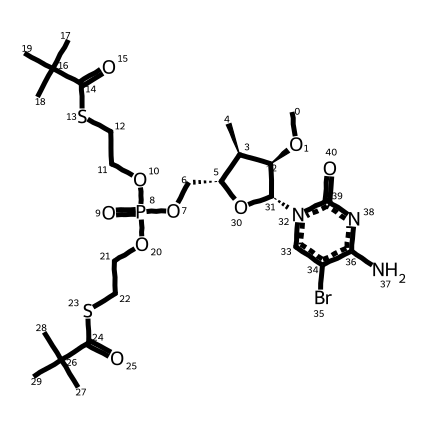 CO[C@@H]1[C@H](C)[C@@H](COP(=O)(OCCSC(=O)C(C)(C)C)OCCSC(=O)C(C)(C)C)O[C@H]1n1cc(Br)c(N)nc1=O